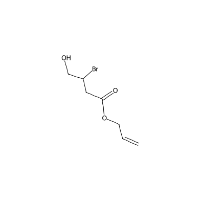 C=CCOC(=O)CC(Br)CO